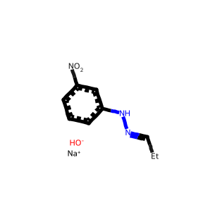 CC/C=N/Nc1cccc([N+](=O)[O-])c1.[Na+].[OH-]